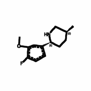 COc1cc([C@H]2CC[C@H](C)CN2)ccc1F